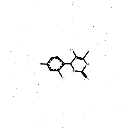 CC(=O)C1=C(C)NC(=S)NC1c1ccc(F)cc1Cl